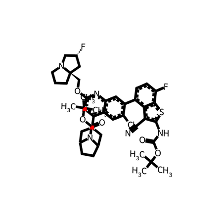 CC(C)(C)OC(=O)Nc1sc2c(F)ccc(-c3cc4nc(OC[C@@]56CCCN5C[C@H](F)C6)nc(N5CC6CCC(C5)N6C(=O)OC(C)(C)C)c4cc3Cl)c2c1C#N